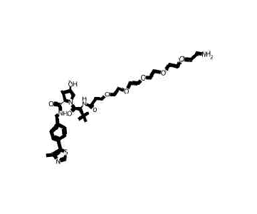 Cc1ncsc1-c1ccc(CNC(=O)[C@@H]2C[C@@H](O)CN2C(=O)[C@@H](NC(=O)CCOCCOCCOCCOCCOCCN)C(C)(C)C)cc1